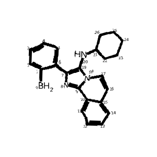 Bc1ccccc1-c1nc2c3ccccc3ccn2c1NC1CCCCC1